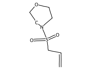 C=CCS(=O)(=O)N1CCOCC1